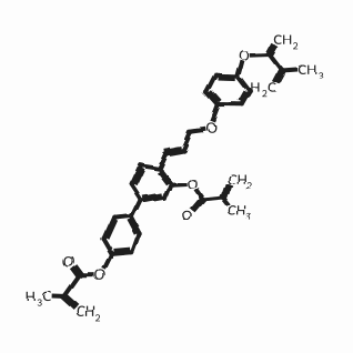 C=C(C)C(=C)Oc1ccc(OC/C=C/c2ccc(-c3ccc(OC(=O)C(=C)C)cc3)cc2OC(=O)C(=C)C)cc1